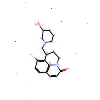 O=c1ccc2ccc(F)c3c2n1CCC3CN1CC[CH]C(O)C1